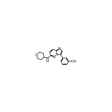 [CH]c1cccc(-c2cnc3ccc(NC4CCOCC4)nn23)c1